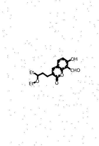 CCOC(CC)CCc1cc2ccc(O)c(C=O)c2oc1=O